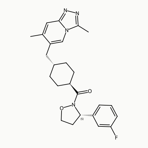 Cc1cc2nnc(C)n2cc1C[C@H]1CC[C@H](C(=O)N2OCC[C@H]2c2cccc(F)c2)CC1